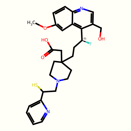 COc1ccc2ncc(CO)c([C@@H](F)CCC3(CC(=O)O)CCN(CC(S)c4ccccn4)CC3)c2c1